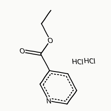 CCOC(=O)c1cccnc1.Cl.Cl